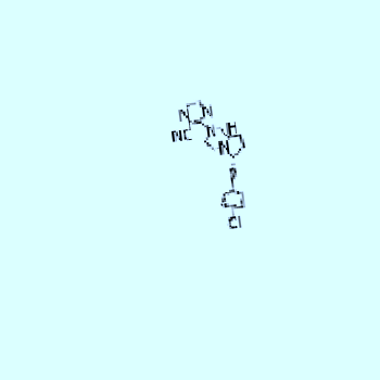 N#Cc1nccnc1N1CCN2[C@@H](CC[C@@H]2C#Cc2ccc(Cl)cc2)C1